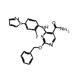 NC(=O)c1cnc(OCc2ccccc2)nc1Nc1ccc(-n2cccn2)cc1F